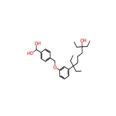 CCC(O)(CC)CCCC(CC)(CC)c1cccc(OCc2ccc(C(O)O)cc2)c1